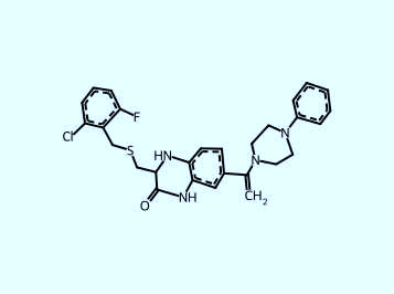 C=C(c1ccc2c(c1)NC(=O)C(CSCc1c(F)cccc1Cl)N2)N1CCN(c2ccccc2)CC1